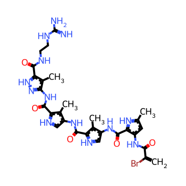 C=C(Br)C(=O)Nc1cc(C)[nH]c1C(=O)Nc1c[nH]c(C(=O)Nc2c[nH]c(C(=O)Nc3n[nH]c(C(=O)NCCNC(=N)N)c3C)c2C)c1C